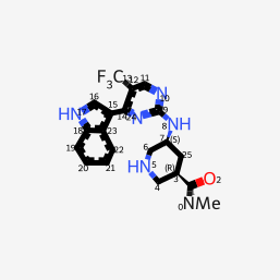 CNC(=O)[C@H]1CNC[C@@H](Nc2ncc(C(F)(F)F)c(-c3c[nH]c4ccccc34)n2)C1